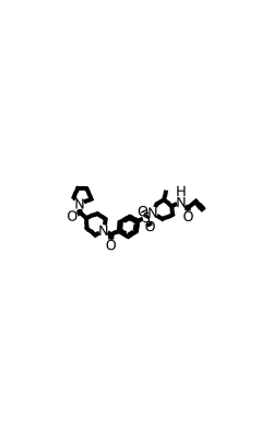 C=CC(=O)NC1CCN(S(=O)(=O)c2ccc(C(=O)N3CCC(C(=O)N4CCCC4)CC3)cc2)CC1C